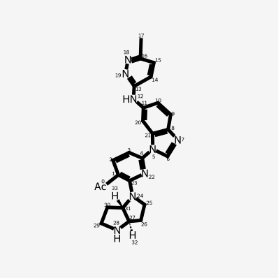 CC(=O)c1ccc(-n2cnc3ccc(Nc4ccc(C)nn4)cc32)nc1N1CC[C@H]2NCC[C@@H]21